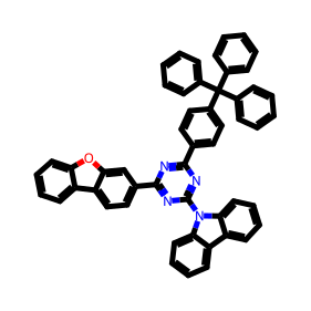 c1ccc(C(c2ccccc2)(c2ccccc2)c2ccc(-c3nc(-c4ccc5c(c4)oc4ccccc45)nc(-n4c5ccccc5c5ccccc54)n3)cc2)cc1